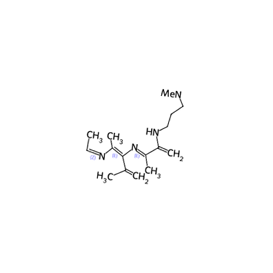 C=C(NCCCNC)/C(C)=N/C(C(=C)C)=C(C)/N=C\C